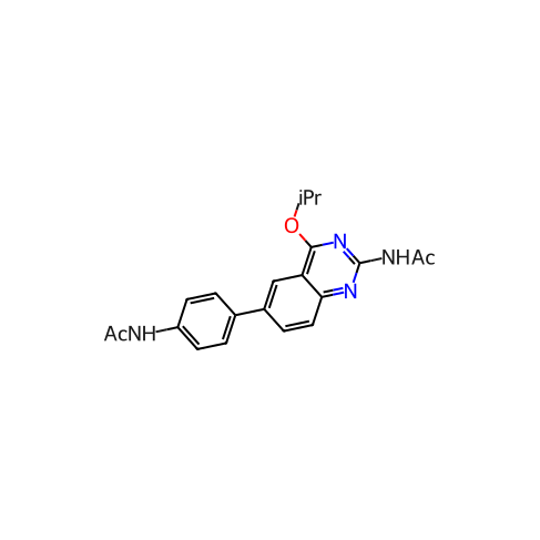 CC(=O)Nc1ccc(-c2ccc3nc(NC(C)=O)nc(OC(C)C)c3c2)cc1